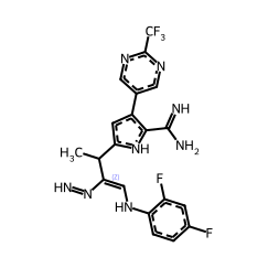 CC(/C(=C/Nc1ccc(F)cc1F)N=N)c1cc(-c2cnc(C(F)(F)F)nc2)c(C(=N)N)[nH]1